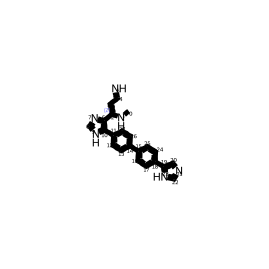 CN/C(=C\C=N)c1nc[nH]c1-c1ccc(-c2ccc(-c3cnc[nH]3)cc2)cc1